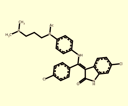 CC(=O)N(CCCN(C)C)c1ccc(NC(=C2C(=O)Nc3cc(Cl)ccc32)c2ccc(Cl)cc2)cc1